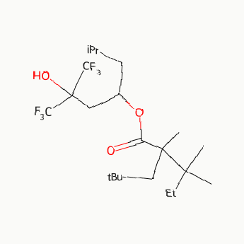 CCC(C)(C)C(C)(CC(C)(C)C)C(=O)OC(CC(C)C)CC(O)(C(F)(F)F)C(F)(F)F